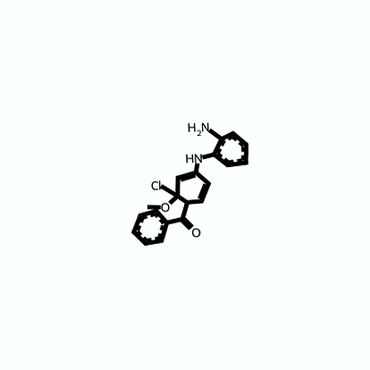 COC1(Cl)C=C(Nc2ccccc2N)C=CC1C(=O)c1ccccc1